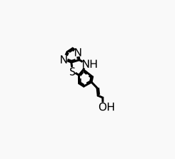 OCC=Cc1ccc2c(c1)Nc1nccnc1S2